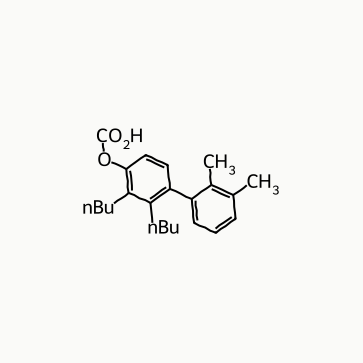 CCCCc1c(OC(=O)O)ccc(-c2cccc(C)c2C)c1CCCC